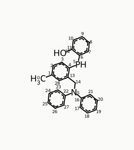 Cc1ccc(Pc2ccccc2O)c(CN(c2ccccc2)c2ccccc2)c1